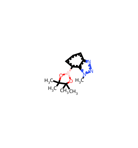 Cn1nnc2cccc(B3OC(C)(C)C(C)(C)O3)c21